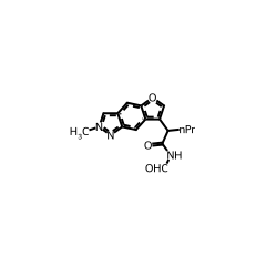 CCCC(C(=O)NC=O)c1coc2cc3cn(C)nc3cc12